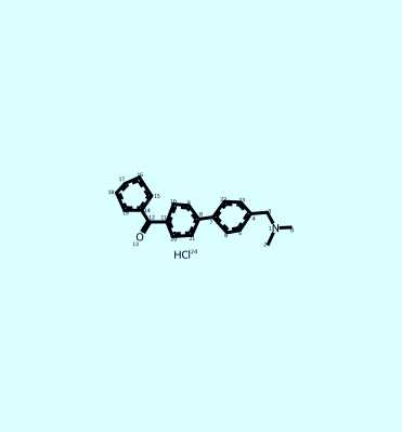 CN(C)Cc1ccc(-c2ccc(C(=O)c3ccccc3)cc2)cc1.Cl